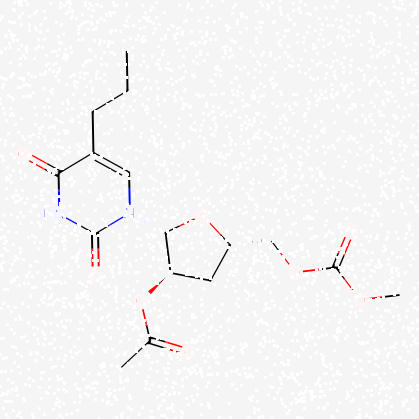 CCCc1cn([C@@H]2O[C@H](COC(=O)OC)C[C@H]2OC(C)=O)c(=O)[nH]c1=O